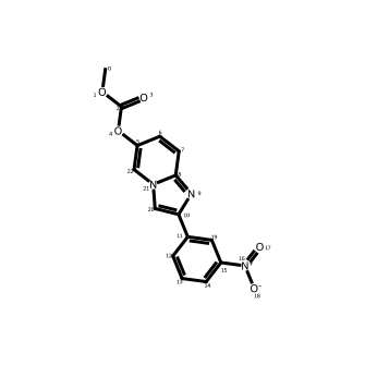 COC(=O)Oc1ccc2nc(-c3cccc([N+](=O)[O-])c3)cn2c1